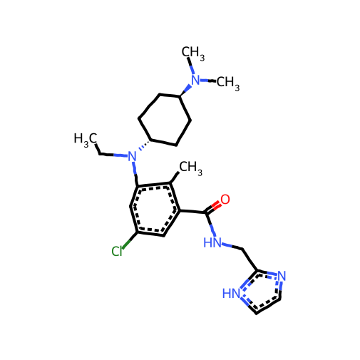 CCN(c1cc(Cl)cc(C(=O)NCc2ncc[nH]2)c1C)[C@H]1CC[C@H](N(C)C)CC1